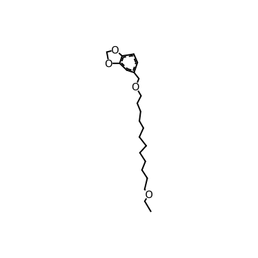 CCOCCCCCCCCCCCCOCc1ccc2c(c1)OCO2